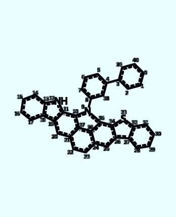 c1ccc(-c2cccc(-n3c4c5[nH]c6ccccc6c5cc5ccc6cc7c8ccccc8sc7c3c6c54)c2)cc1